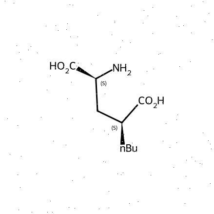 CCCC[C@@H](C[C@H](N)C(=O)O)C(=O)O